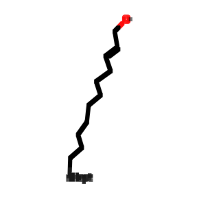 CCCCCCCCCCCCCCCC=CC[O]